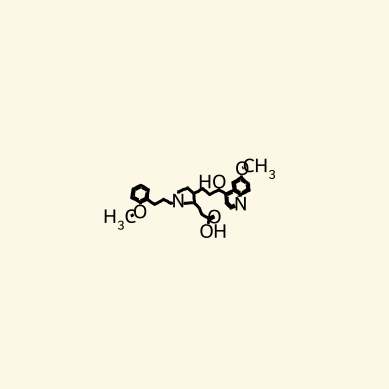 COc1ccc2nccc([C@@H](O)CCC3CCN(CCCc4ccccc4OC)CC3CCC(=O)O)c2c1